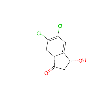 O=C1CC(O)C2=CC(Cl)=C(Cl)CC12